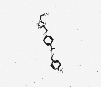 C/C(=N\OCc1ccc(C(F)(F)F)cc1)c1ccc(OCc2nnn(CC#N)n2)cc1